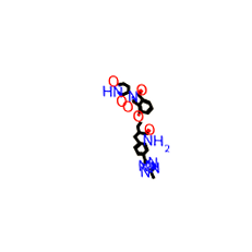 Cc1nnc(-c2ccc(CC(CCOc3cccc4c3C(=O)N(C3CCC(=O)NC3=O)C4=O)C(N)=O)cc2)nn1